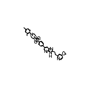 COc1ccnc(CCc2nc3cc(-c4ccc(S(=O)(=O)N5CCN(c6ccc(C)cc6C)CC5)cc4)cnc3[nH]2)c1